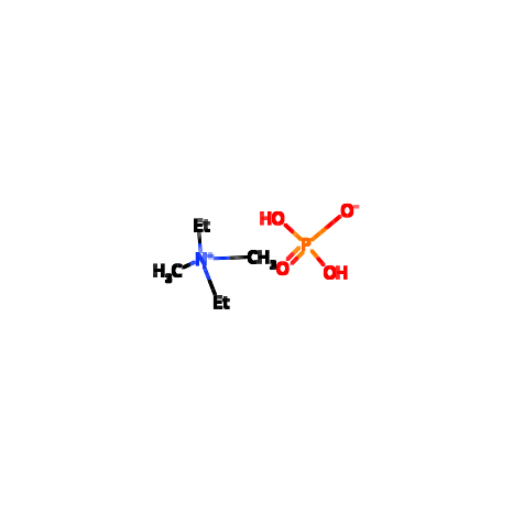 CC[N+](C)(C)CC.O=P([O-])(O)O